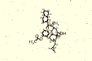 CC(=O)Oc1cccc([C@@]23CCN(CC4CC4)C[C@H]2C(O)C[C@H](N(C)C(=O)c2ccc4ccccc4c2)C3)c1